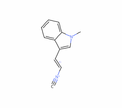 [C-]#[N+]/C=C/c1cn(C)c2ccccc12